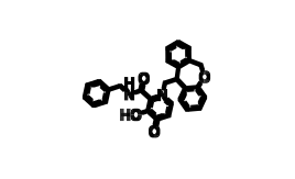 O=C(NCc1ccccc1)c1c(O)c(=O)ccn1CC1c2ccccc2COc2ccccc21